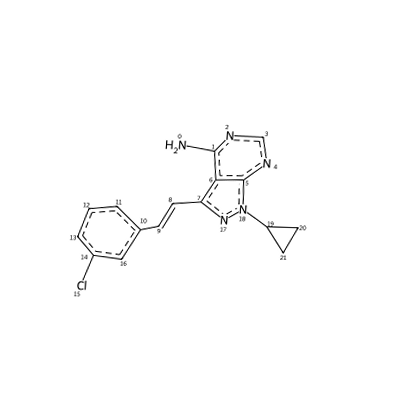 Nc1ncnc2c1c(C=Cc1cccc(Cl)c1)nn2C1CC1